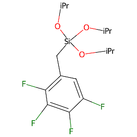 CC(C)O[Si](Cc1cc(F)c(F)c(F)c1F)(OC(C)C)OC(C)C